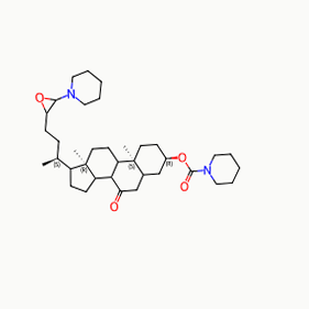 C[C@@H](CCC1OC1N1CCCCC1)C1CCC2C3C(=O)CC4C[C@H](OC(=O)N5CCCCC5)CC[C@]4(C)C3CC[C@@]21C